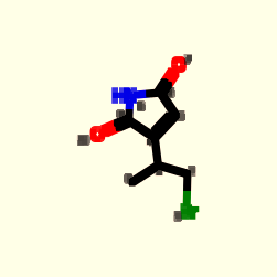 CC(CBr)C1=CC(=O)NC1=O